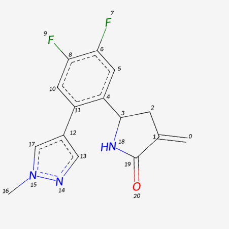 C=C1CC(c2cc(F)c(F)cc2-c2cnn(C)c2)NC1=O